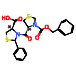 O=C(O)[C@@H]1CSC(c2ccccc2)N1C(=O)[C@@H]1CSCN1C(=O)OCc1ccccc1